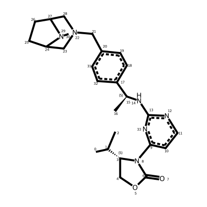 CC(C)[C@H]1COC(=O)N1c1ccnc(N[C@@H](C)c2ccc(CN3CC4CCC(C3)N4C)cc2)n1